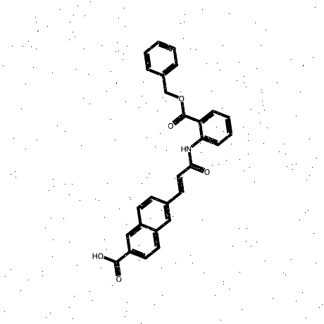 O=C(/C=C/c1ccc2cc(C(=O)O)ccc2c1)Nc1ccccc1C(=O)OCc1ccccc1